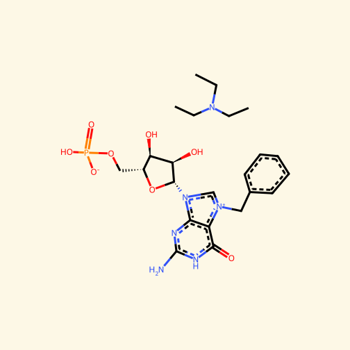 CCN(CC)CC.Nc1nc2c(c(=O)[nH]1)[n+](Cc1ccccc1)cn2[C@@H]1O[C@H](COP(=O)([O-])O)[C@@H](O)[C@H]1O